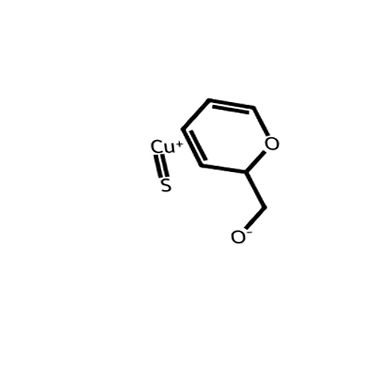 [O-]CC1C=CC=CO1.[S]=[Cu+]